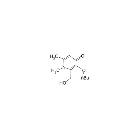 CCCCOc1c(CO)n(C)c(C)cc1=O